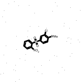 CNc1ccc(S(=O)(=O)c2ccccc2[N+](=O)[O-])cc1Cl